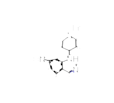 C/N=C\c1ccc(N=O)cc1NC1CCN(C(C)C)CC1